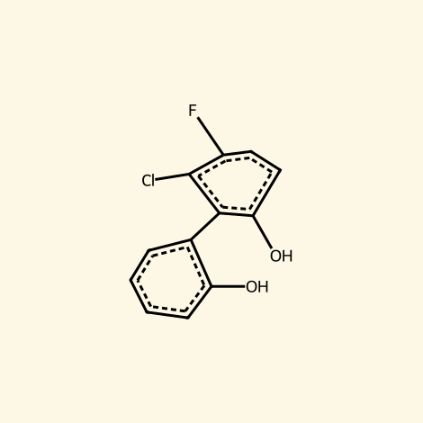 Oc1ccccc1-c1c(O)ccc(F)c1Cl